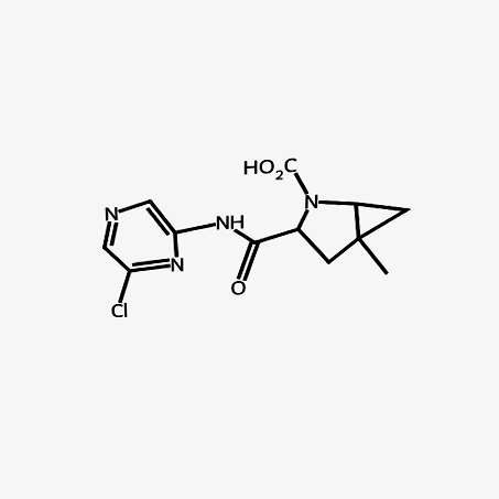 CC12CC(C(=O)Nc3cncc(Cl)n3)N(C(=O)O)C1C2